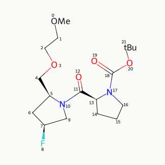 COCCOC[C@@H]1C[C@H](F)CN1C(=O)[C@@H]1CCCN1C(=O)OC(C)(C)C